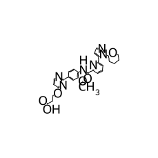 COc1cc(-c2nccc(OCCC(=O)O)n2)ccc1NC(=O)c1cccc(-c2ccnn2C2CCCCO2)n1